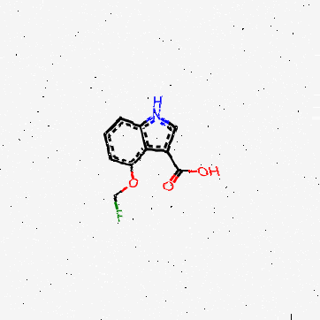 O=C(O)c1c[nH]c2cccc(OCF)c12